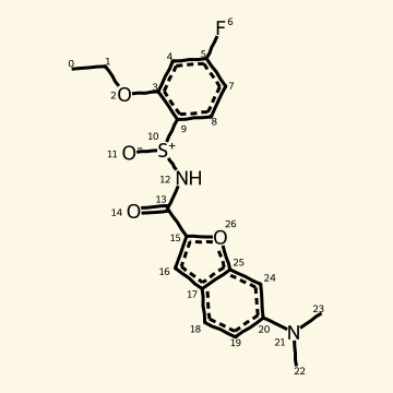 CCOc1cc(F)ccc1[S+]([O-])NC(=O)c1cc2ccc(N(C)C)cc2o1